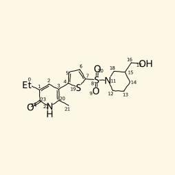 CCc1cc(-c2ccc(S(=O)(=O)N3CCCC(CO)C3)s2)c(C)[nH]c1=O